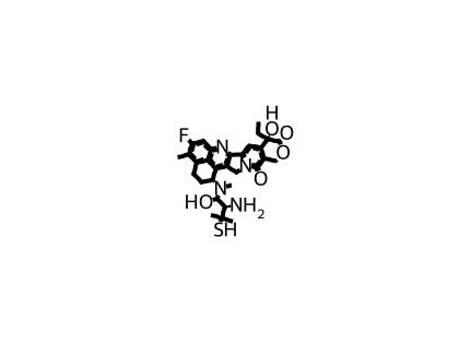 CC[C@@]1(O)C(=O)OCc2c1cc1n(c2=O)Cc2c-1nc1cc(F)c(C)c3c1c2[C@@H](N(C)C(O)[C@@H](N)C(C)(C)S)CC3